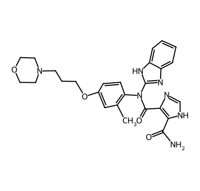 Cc1cc(OCCCN2CCOCC2)ccc1N(C(=O)c1nc[nH]c1C(N)=O)c1nc2ccccc2[nH]1